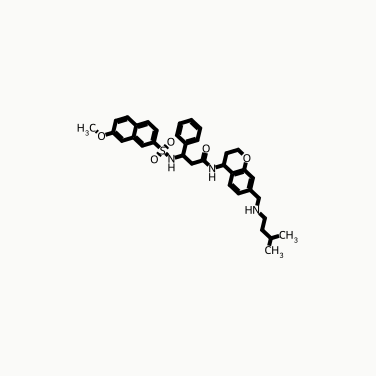 COc1ccc2ccc(S(=O)(=O)NC(CC(=O)NC3CCOc4cc(CNCCC(C)C)ccc43)c3ccccc3)cc2c1